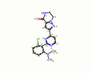 CN(C)c1cccc(F)c1-c1nccc(-c2cc3n(n2)CCNC3=O)n1